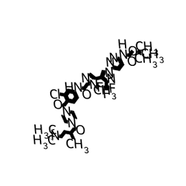 CCC(CCN(C)C)C(=O)N1CCN(C(=O)c2ccc(NC(=O)c3ncc(-c4cn(-c5ccc(NC(=O)OC(C)(C)C)nn5)nc4C(F)(F)F)n3C)cc2Cl)CC1